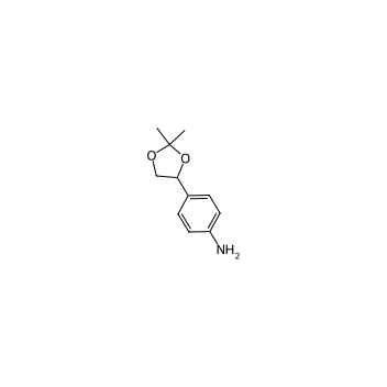 CC1(C)OCC(c2ccc(N)cc2)O1